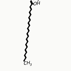 CCCCCCCCCCCCCCCCCCCCCCC(O)=CN